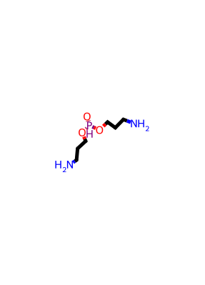 NCCCO[PH](=O)OCCCN